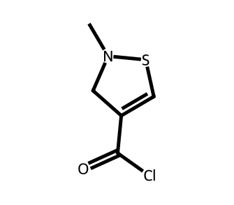 CN1CC(C(=O)Cl)=CS1